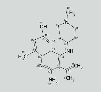 C=C(C)C1=C(NC2CCN(C)CC2)C2C=C(O)C=C(C)C2N=C1N